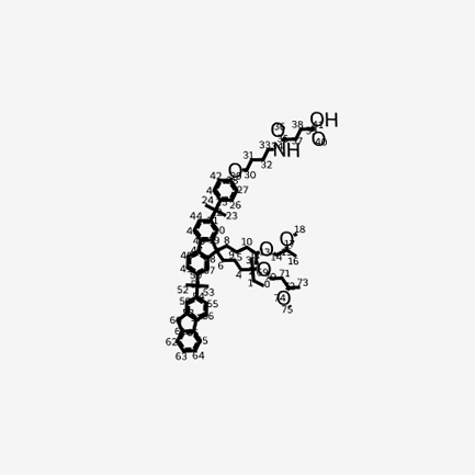 CCC(C)(CCCC1(CCCC(C)OCC(C)OC)c2cc(C(C)(C)c3ccc(OCCCCNC(=O)CCC(=O)O)cc3)ccc2-c2ccc(C(C)(C)c3ccc4c(c3)Cc3ccccc3-4)cc21)OCCC(C)OC